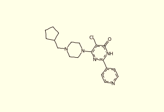 O=c1[nH]c(-c2ccncc2)nc(N2CCN(CC3CCCC3)CC2)c1Cl